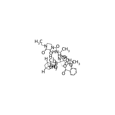 CCN1CCN(C(=O)N[C@@H](C)C(=O)N[C@](COC(=O)c2ccccc2OC)(B2OC3C[C@@H]4C[C@@H](C4(C)C)[C@]3(C)O2)C(C)(C)C)C(=O)C1=O